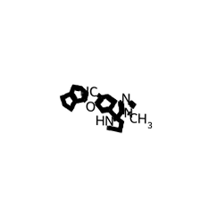 Cn1cncc1C1(c2ccc(C#N)c(Oc3cccc4c3CCC4)c2)CCCN1